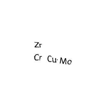 [Cr].[Cu].[Mo].[Zr]